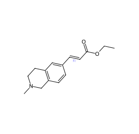 CCOC(=O)/C=C/c1ccc2c(c1)CCN(C)C2